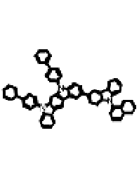 c1ccc(-c2ccc(-n3c4ccccc4c4cc5c6cc(-c7ccc8c(c7)c7ccccc7n8-c7cccc8ccccc78)ccc6n(-c6ccc(-c7ccccc7)cc6)c5cc43)cc2)cc1